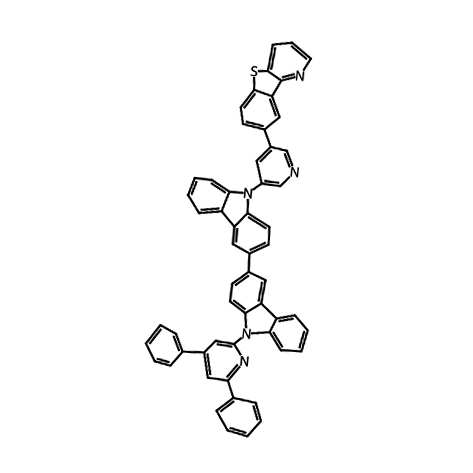 c1ccc(-c2cc(-c3ccccc3)nc(-n3c4ccccc4c4cc(-c5ccc6c(c5)c5ccccc5n6-c5cncc(-c6ccc7sc8cccnc8c7c6)c5)ccc43)c2)cc1